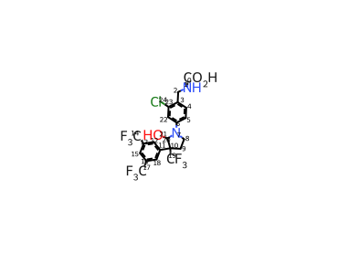 O=C(O)NCc1ccc(N2CCC(c3cc(C(F)(F)F)cc(C(F)(F)F)c3)(C(F)(F)F)C2O)cc1Cl